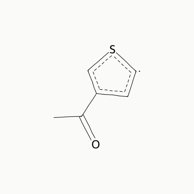 CC(=O)c1c[c]sc1